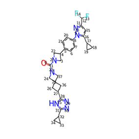 O=C(N1CC(c2ccc(-n3nc(C(F)F)cc3C3CC3)cc2)C1)N1CC2(CC(c3nnc(C4CC4)[nH]3)C2)C1